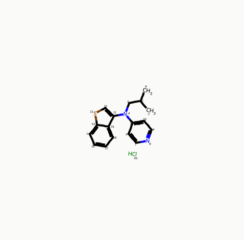 CC(C)CN(c1ccncc1)c1csc2ccccc12.Cl